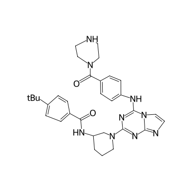 CC(C)(C)c1ccc(C(=O)NC2CCCN(c3nc(Nc4ccc(C(=O)N5CCNCC5)cc4)n4ccnc4n3)C2)cc1